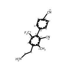 Cc1c([CH]CN)cc(C(F)(F)F)c(-c2ccc(C#N)cc2)c1C#N